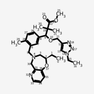 CC[C@@H]1CN(Cc2cc(C(OCc3cn(CC)nn3)C(C)(C)C(=O)OC)ccc2C)Cc2ncccc2O1